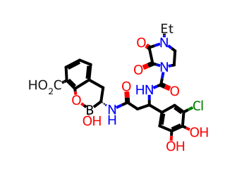 CCN1CCN(C(=O)NC(CC(=O)N[C@H]2Cc3cccc(C(=O)O)c3OB2O)c2cc(O)c(O)c(Cl)c2)C(=O)C1=O